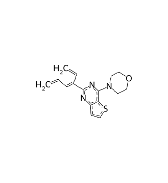 C=C/C=C(\C=C)c1nc(N2CCOCC2)c2sccc2n1